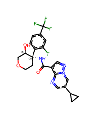 O=C(N[C@]1(c2ccc(C(F)(F)F)cc2F)CCOC[C@H]1O)c1cnn2cc(C3CC3)cnc12